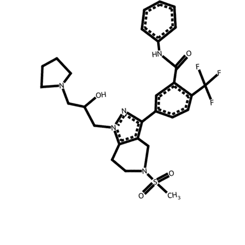 CS(=O)(=O)N1CCc2c(c(-c3ccc(C(F)(F)F)c(C(=O)Nc4ccccc4)c3)nn2CC(O)CN2CCCC2)C1